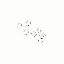 c1ccc(N(c2ccccc2)c2cccc(-c3ccc4c(c3)Sc3ccccc3C43c4ccccc4-c4ccccc43)c2)cc1